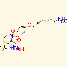 CC1(C)SCCN(S(=O)(=O)c2ccc(OCC#CCCCCNC(=O)O)cc2)[C@H]1C(=O)NO